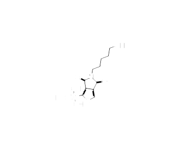 CCCCCCN1C(=O)c2cs[c]([Sn]([CH3])([CH3])[CH3])c2C1=O